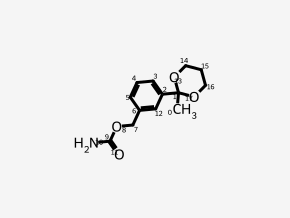 CC1(c2cccc(COC(N)=O)c2)OCCCO1